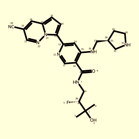 CC(C)(O)[C@H](F)CNC(=O)c1cnc(-c2ccc3cc(C#N)cnn23)cc1NC[C@H]1CCNC1